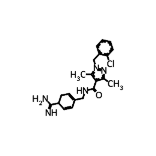 Cc1nn(Cc2ccccc2Cl)c(C)c1C(=O)NCC1=CCC(C(=N)N)C=C1